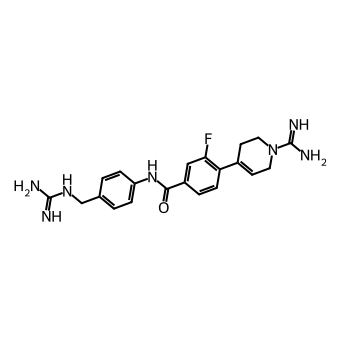 N=C(N)NCc1ccc(NC(=O)c2ccc(C3=CCN(C(=N)N)CC3)c(F)c2)cc1